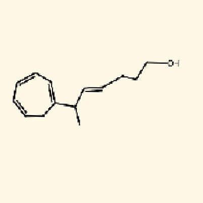 CC(C=CCCCO)C1=CC=CC=CC1